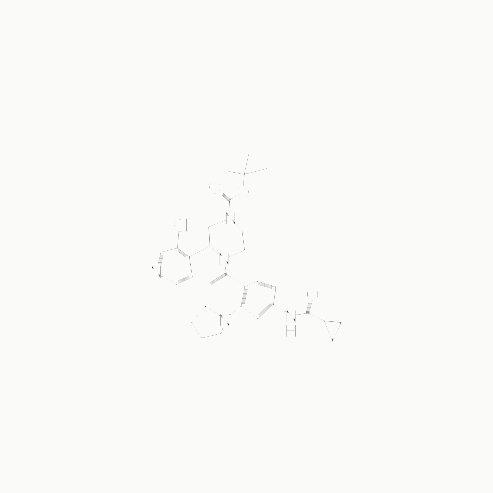 C=C(c1ccc(NC(=O)C2CC2)cc1N1CCCC1)N1CCN(C(=O)OC(C)(C)C)CC1c1ccncc1Cl